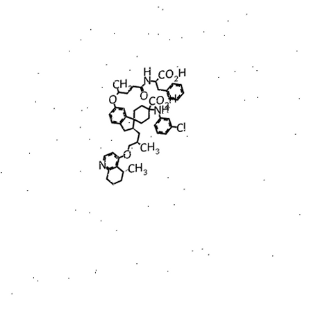 CC(CCC(=O)N[C@H](Cc1ccccc1)C(=O)O)Oc1ccc2c(c1)C1(CCC(Nc3cccc(Cl)c3)(C(=O)O)CC1)[C@@H](C[C@@H](C)COc1ccnc3c1[C@H](C)CCC3)C2